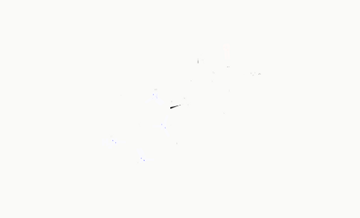 COC(=O)[C@@]1(C(C)C)CCC[C@@H](c2nc(Br)c3c(N)nccn23)C1